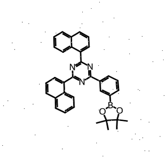 CC1(C)OB(c2cccc(-c3nc(-c4cccc5ccccc45)nc(-c4cccc5ccccc45)n3)c2)OC1(C)C